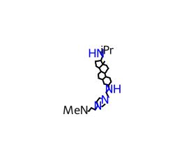 CNCCCN1CCN(CCNC2CCC3C(CCC4C3CCC3(C)C(CNC(C)C)CCC43)C2)CC1